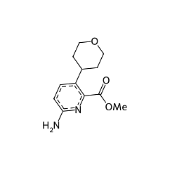 COC(=O)c1nc(N)ccc1C1CCOCC1